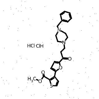 COC(=O)c1sccc1-c1ccc(C(=O)CCN2CCN(Cc3ccccc3)CC2)o1.Cl.Cl